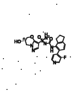 NS(=O)(=NC(=O)Nc1c(-c2ccncc2F)ccc2c1CCC2)c1cnn2c1OC[C@@H](O)C2